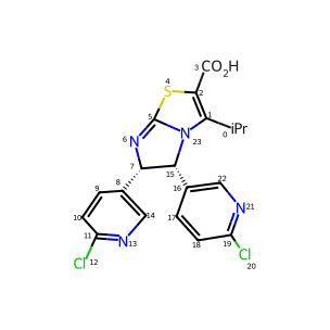 CC(C)C1=C(C(=O)O)SC2=N[C@@H](c3ccc(Cl)nc3)[C@@H](c3ccc(Cl)nc3)N21